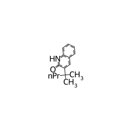 CCCC(C)(C)c1cc2ccccc2[nH]c1=O